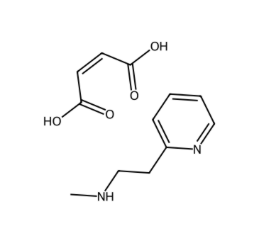 CNCCc1ccccn1.O=C(O)/C=C\C(=O)O